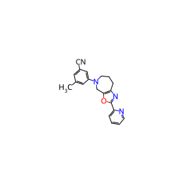 Cc1cc(C#N)cc(N2CCCc3nc(-c4ccccn4)oc3C2)c1